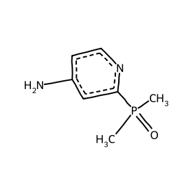 CP(C)(=O)c1cc(N)ccn1